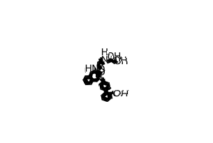 CC(C)(CC(=O)N[C@@H]1Cc2ccccc2CN(Cc2ccc(-c3ccccc3CO)cc2)C1=O)NC[C@H](O)CO